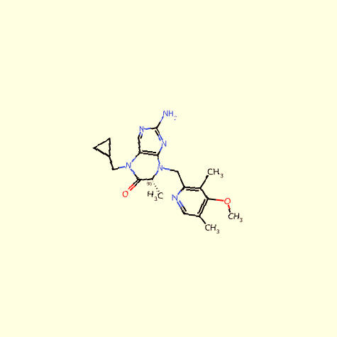 COc1c(C)cnc(CN2c3nc(N)ncc3N(CC3CC3)C(=O)[C@H]2C)c1C